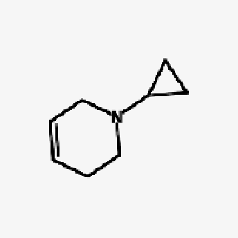 C1=CCN(C2CC2)CC1